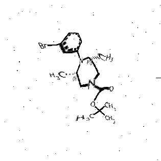 C[C@@H]1CN(C(=O)OC(C)(C)C)C[C@H](C)N1c1cccc(Br)c1